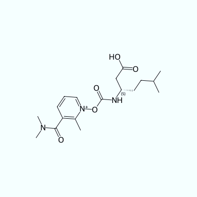 Cc1c(C(=O)N(C)C)ccc[n+]1OC(=O)N[C@@H](CCC(C)C)CC(=O)O